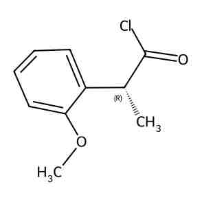 COc1ccccc1[C@@H](C)C(=O)Cl